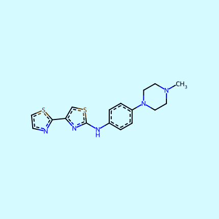 CN1CCN(c2ccc(Nc3nc(-c4nccs4)cs3)cc2)CC1